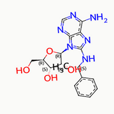 C[C@H](Nc1nc2c(N)ncnc2n1[C@@H]1O[C@H](CO)[C@@H](O)[C@H]1O)c1ccccc1